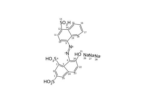 O=S(=O)(O)c1cc(S(=O)(=O)O)c2c(N=Nc3ccc(S(=O)(=O)O)c4ccccc34)c(O)ccc2c1.[Na].[Na].[Na]